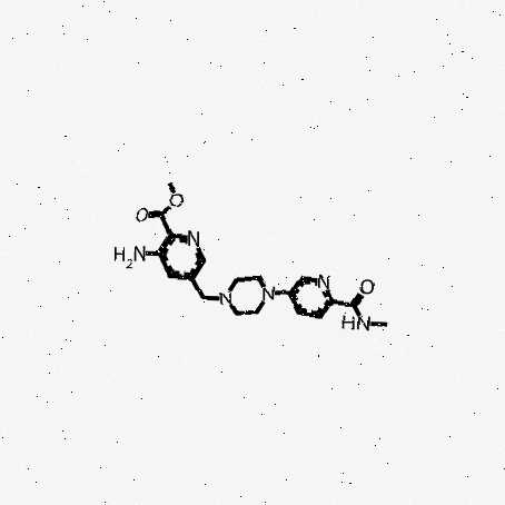 CNC(=O)c1ccc(N2CCN(Cc3cnc(C(=O)OC)c(N)c3)CC2)cn1